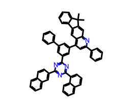 CC1(C)c2ccccc2-c2cc3c(-c4cc(-c5ccccc5)cc(-c5nc(-c6ccc7ccccc7c6)nc(-c6cccc7ccccc67)n5)c4)cc(-c4ccccc4)nc3cc21